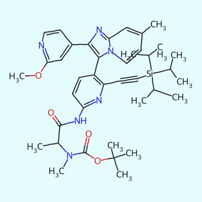 COc1cc(-c2nc3cc(C)ccn3c2-c2ccc(NC(=O)C(C)N(C)C(=O)OC(C)(C)C)nc2C#C[Si](C(C)C)(C(C)C)C(C)C)ccn1